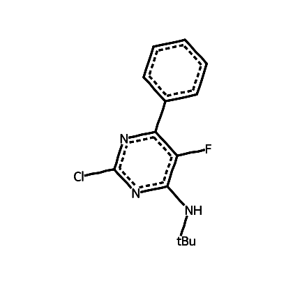 CC(C)(C)Nc1nc(Cl)nc(-c2ccccc2)c1F